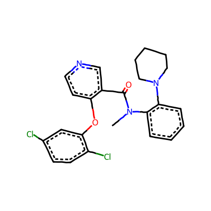 CN(C(=O)c1cnccc1Oc1cc(Cl)ccc1Cl)c1ccccc1N1CCCCC1